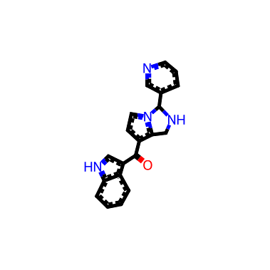 O=C(c1ccn2c1CNC2c1cccnc1)c1c[nH]c2ccccc12